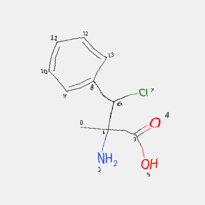 CC(N)(C(=O)O)C(Cl)c1ccccc1